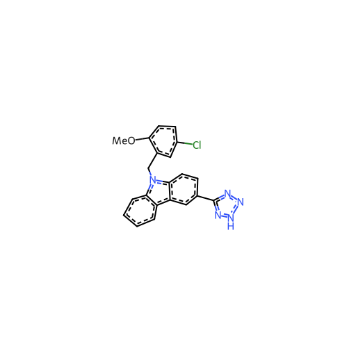 COc1ccc(Cl)cc1Cn1c2ccccc2c2cc(-c3nn[nH]n3)ccc21